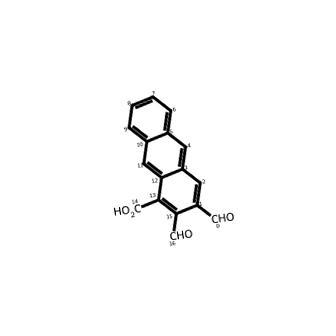 O=Cc1cc2cc3ccccc3cc2c(C(=O)O)c1C=O